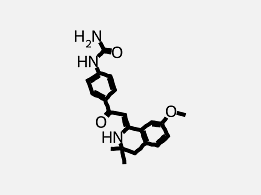 COc1ccc2c(c1)/C(=C/C(=O)c1ccc(NC(N)=O)cc1)NC(C)(C)C2